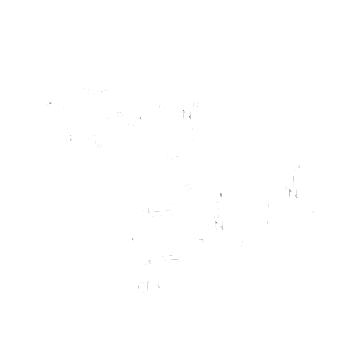 CC(CN(C)C)Cn1cc(-c2cncc(-c3ccccc3)c2)c2ccc(Cl)cc21